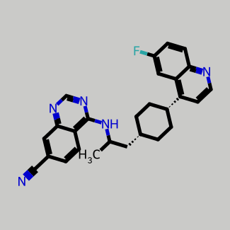 CC(C[C@H]1CC[C@@H](c2ccnc3ccc(F)cc32)CC1)Nc1ncnc2cc(C#N)ccc12